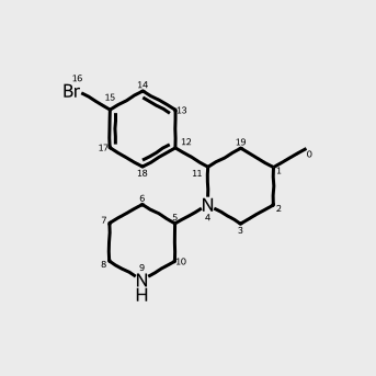 CC1CCN(C2CCCNC2)C(c2ccc(Br)cc2)C1